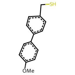 COc1ccc(-c2ccc(CS)cc2)cc1